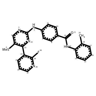 CSc1cnc(Nc2ccc(C(=O)Nc3ccccc3C)cc2)nc1-c1cccnc1F